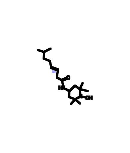 CC(C)CC/C=C/CC(=O)NC1CC(C)(C)N(O)C(C)(C)C1